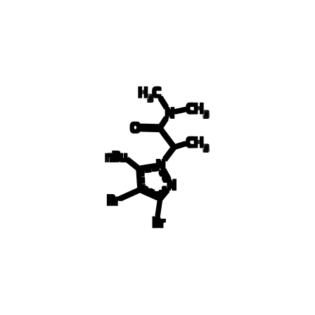 CCCCc1c(Br)c(Br)nn1C(C)C(=O)N(C)C